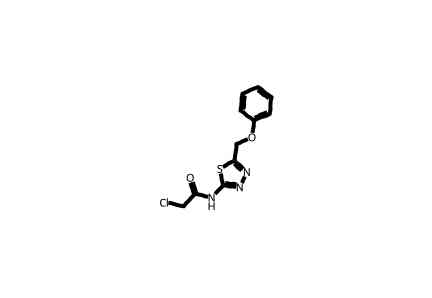 O=C(CCl)Nc1nnc(COc2ccccc2)s1